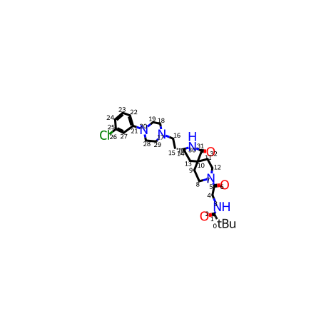 CC(C)(C)C(=O)NCC(=O)N1CCC2(CC1)C[C@H](CCN1CCN(c3cccc(Cl)c3)CC1)NC2=O